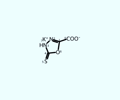 O=C([O-])c1n[nH]c(=S)o1.[K+]